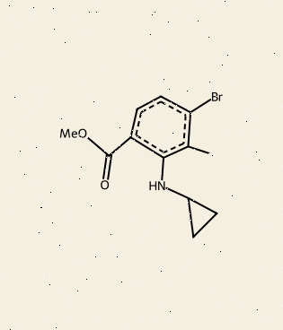 COC(=O)c1ccc(Br)c(C)c1NC1CC1